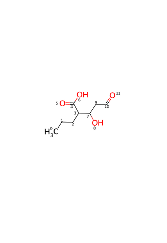 CCCC(C(=O)O)C(O)CC=O